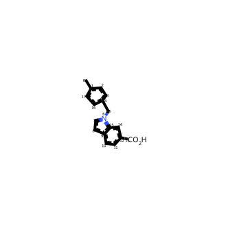 Cc1ccc(Cn2ccc3ccc(C(=O)O)cc32)cc1